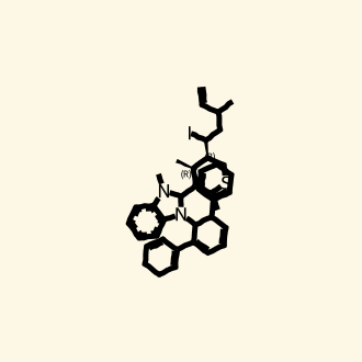 C=CC(C)CC(I)[C@H]1CSC(C)C(C2N(C)c3ccccc3N2C2C(C3=CCCC=C3)=CC=CC2C2=CCCC=C2)[C@H]1C